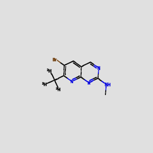 [2H]C([2H])([2H])c1nc2nc(NC)ncc2cc1Br